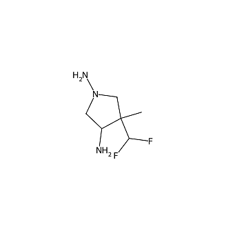 CC1(C(F)F)CN(N)CC1N